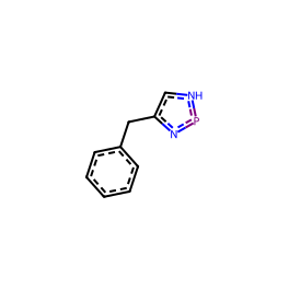 c1ccc(Cc2c[nH]pn2)cc1